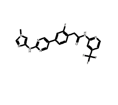 Cn1cnc(Nc2ncc(-c3ccc(CC(=O)Nc4cc(C(F)(F)F)ccn4)c(F)c3)cn2)c1